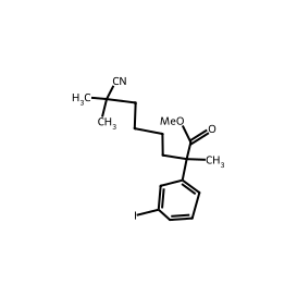 COC(=O)C(C)(CCCCC(C)(C)C#N)c1cccc(I)c1